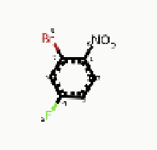 O=[N+]([O-])c1ccc(F)[c]c1Br